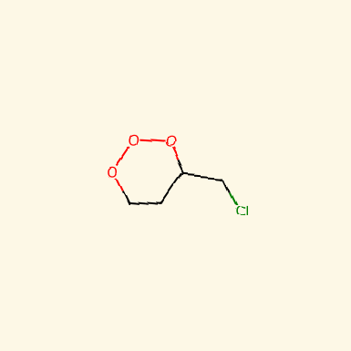 ClCC1CCOOO1